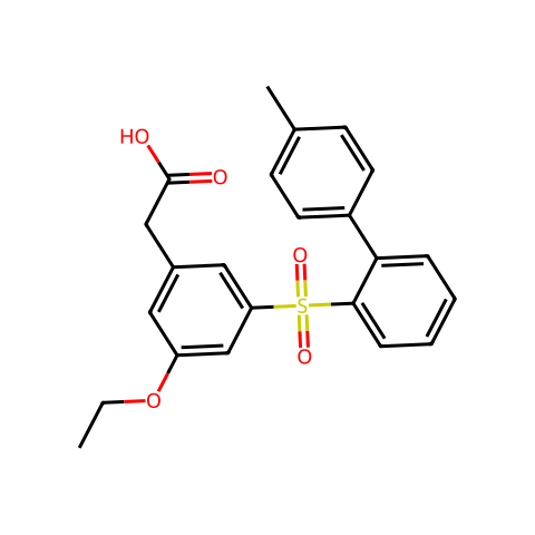 CCOc1cc(CC(=O)O)cc(S(=O)(=O)c2ccccc2-c2ccc(C)cc2)c1